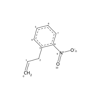 C=CCc1ccccc1[N+](=O)[O-]